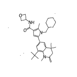 C=C1CC(C)(C)c2cc(-c3cc(C(=O)NC4COC4)c(C)n3CC3CCCCC3)cc(C(C)(C)C)c2N1C